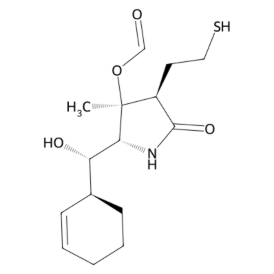 C[C@@]1(OC=O)[C@@H]([C@@H](O)[C@@H]2C=CCCC2)NC(=O)[C@@H]1CCS